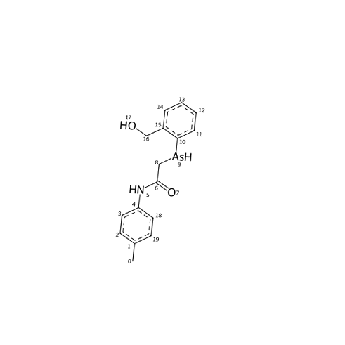 Cc1ccc(NC(=O)C[AsH]c2ccccc2CO)cc1